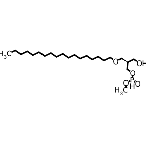 CCCCCCCCCCCCCCCCCCOC[C@@H](CO)CO[PH](=O)OC